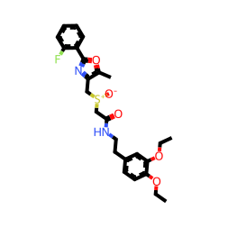 CCOc1ccc(CCNC(=O)C[S+]([O-])Cc2nc(-c3ccccc3F)oc2C)cc1OCC